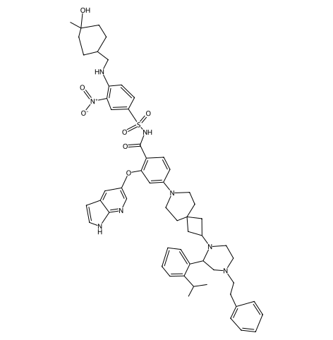 CC(C)c1ccccc1C1CN(CCc2ccccc2)CCN1C1CC2(CCN(c3ccc(C(=O)NS(=O)(=O)c4ccc(NCC5CCC(C)(O)CC5)c([N+](=O)[O-])c4)c(Oc4cnc5[nH]ccc5c4)c3)CC2)C1